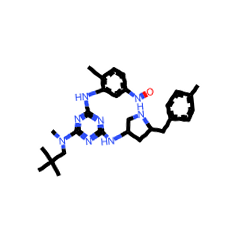 Cc1ccc(CC2CC(Nc3nc(Nc4cc(N=O)ccc4C)nc(N(C)CC(C)(C)C)n3)CN2)cc1